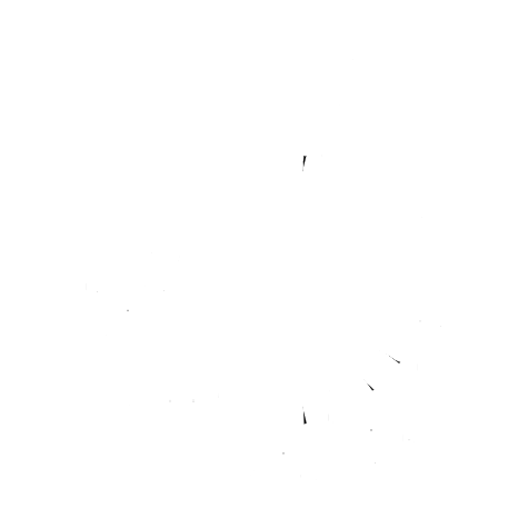 C=CC=C[C@H](C)[C@@H]1C[C@H](C)/C=C/[C@H](C)[C@@H](C)[C@@H](O[Si](C)(C)C(C)(C)C)C[C@@H](O[Si](C)(C)C(C)(C)C)CC[C@H](C)[C@H](O[Si](C)(C)C(C)(C)C)[C@H](O[Si](C)(C)C(C)(C)C)OC(=O)/C=C/C=C\[C@H]1C